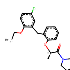 C[C@@H](Oc1ccccc1Cc1cc(Cl)ccc1OCC(=O)O)C(=O)N1CCCC1